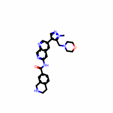 Cn1ncc(-c2cnc3cnc(NC(=O)c4ccc5c(c4)CNCC5)cc3c2)c1CN1CCOCC1